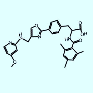 COc1ccnc(NCc2coc(-c3ccc(CC(NC(=O)c4c(C)cc(C)cc4C)C(=O)O)cc3)n2)c1